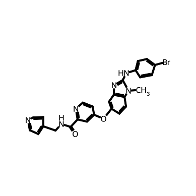 Cn1c(Nc2ccc(Br)cc2)nc2cc(Oc3ccnc(C(=O)NCc4ccncc4)c3)ccc21